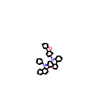 c1ccc(-c2ccccc2N(c2ccc3c(c2)oc2ccccc23)c2ccc3c4ccc5ccccc5c4n(-c4ccccc4)c3c2)cc1